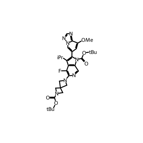 COc1cc(-c2c(C(C)C)c3c(F)c(N4CC5(CN(C(=O)OC(C)(C)C)C5)C4)ncc3n2C(=O)OC(C)(C)C)cn2ncnc12